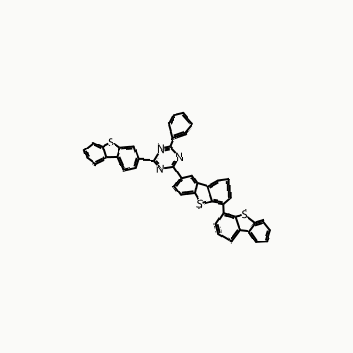 c1ccc(-c2nc(-c3ccc4c(c3)sc3ccccc34)nc(-c3ccc4sc5c(-c6cccc7c6sc6ccccc67)cccc5c4c3)n2)cc1